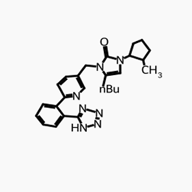 CCCCc1cn(C2CCCC2C)c(=O)n1Cc1ccc(-c2ccccc2-c2nnn[nH]2)nc1